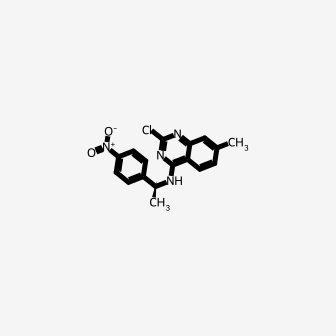 Cc1ccc2c(N[C@@H](C)c3ccc([N+](=O)[O-])cc3)nc(Cl)nc2c1